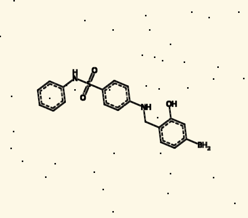 Bc1ccc(CNc2ccc(S(=O)(=O)Nc3ccccc3)cc2)c(O)c1